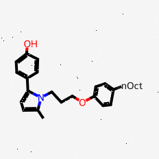 CCCCCCCCc1ccc(OCCCn2c(C)ccc2-c2ccc(O)cc2)cc1